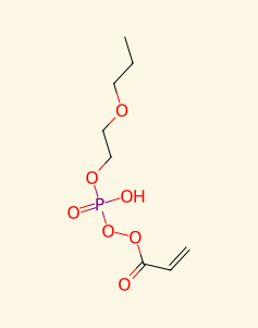 C=CC(=O)OOP(=O)(O)OCCOCCC